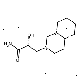 NC(=O)[C@H](O)CN1CCC2CCCCC2C1